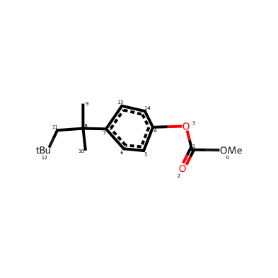 COC(=O)Oc1ccc(C(C)(C)CC(C)(C)C)cc1